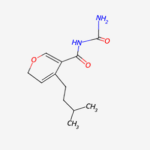 CC(C)CCC1=CCOC=C1C(=O)NC(N)=O